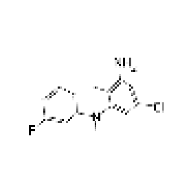 Cc1c(N)cc(Cl)cc1N(C)c1cccc(F)c1